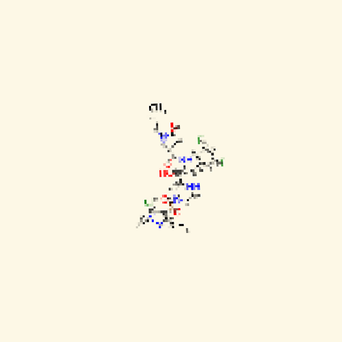 CCCCN1CC(C(=O)NC(Cc2cc(F)cc(F)c2)[C@H](O)[C@H]2CN(S(=O)(=O)c3c(C)nn(C)c3Cl)CCN2)CC1=O